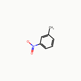 Cc1c[c]cc([N+](=O)[O-])c1